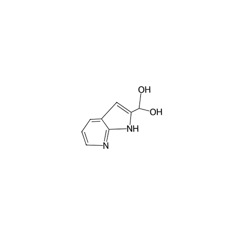 OC(O)c1cc2cccnc2[nH]1